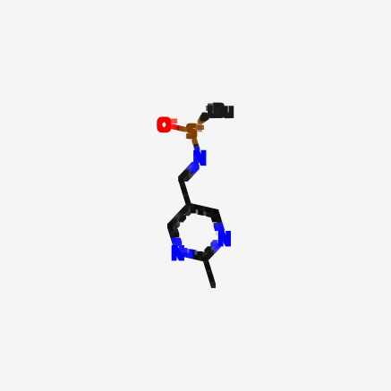 Cc1ncc(C=N[S@@+]([O-])C(C)(C)C)cn1